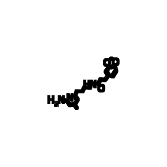 Cc1cc(N)nc(CCCCNC(=O)C=Cc2ccc3c(c2)OCO3)c1